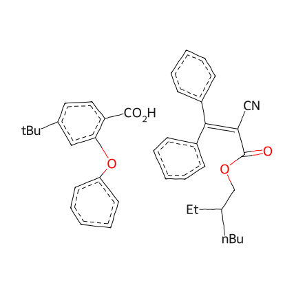 CC(C)(C)c1ccc(C(=O)O)c(Oc2ccccc2)c1.CCCCC(CC)COC(=O)C(C#N)=C(c1ccccc1)c1ccccc1